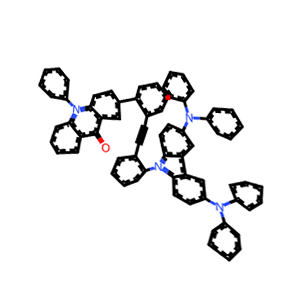 O=c1c2ccccc2n(-c2ccccc2)c2ccc(-c3ccccc3C#Cc3ccccc3-n3c4ccc(N(c5ccccc5)c5ccccc5)cc4c4cc(N(c5ccccc5)c5ccccc5)ccc43)cc12